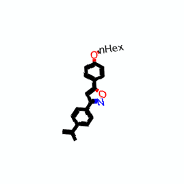 C=C(C)c1ccc(-c2cc(-c3ccc(OCCCCCC)cc3)on2)cc1